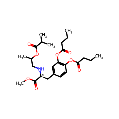 CCCC(=O)Oc1ccc(C[C@H](NCC(C)OC(=O)C(C)C)C(=O)OC)cc1OC(=O)CCC